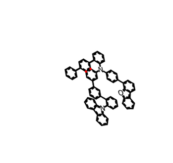 c1ccc(-c2ccc(-c3ccccc3N(c3ccc(-c4cccc5c4oc4ccccc45)cc3)c3cccc(-c4cccc(-c5ccccc5-n5c6ccccc6c6ccccc65)c4)c3)cc2)cc1